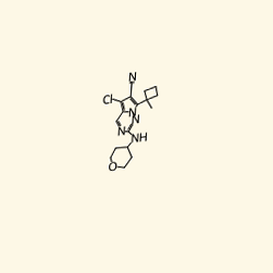 CC1(c2c(C#N)c(Cl)c3cnc(NC4CCOCC4)nn23)CCC1